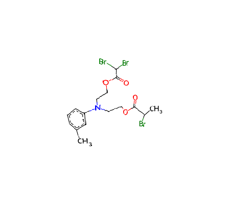 Cc1cccc(N(CCOC(=O)C(C)Br)CCOC(=O)C(Br)Br)c1